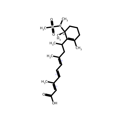 CC1=C(C(C)C/C(C)=C/C=C/C(C)=C/C(=O)O)[C@](C)(N(C)S(C)(=O)=O)CCC1